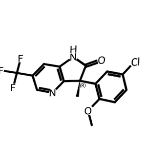 COc1ccc(Cl)cc1[C@@]1(C)C(=O)Nc2cc(C(F)(F)F)cnc21